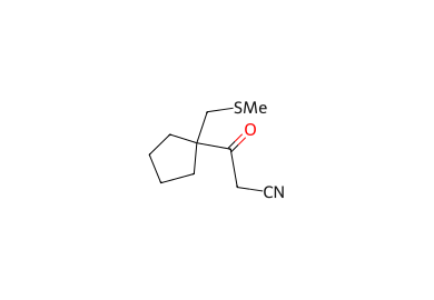 CSCC1(C(=O)CC#N)CCCC1